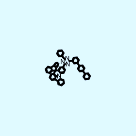 c1ccc(-c2ccc(-c3cccc(-c4nc(-c5ccccc5)nc(-c5ccc6c(c5)C5(c7ccccc7-c7ccccc75)c5cccc7c8ccccc8n-6c57)n4)c3)cc2)cc1